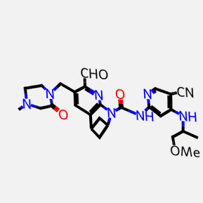 COCC(C)Nc1cc(NC(=O)N2c3nc(C=O)c(CN4CCN(C)CC4=O)cc3C3CC2C3)ncc1C#N